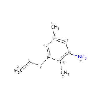 C=CCc1cc(C)cc(N)c1C